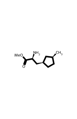 COC(=O)[C@@H](N)C[C@@H]1CC[C@H](C)C1